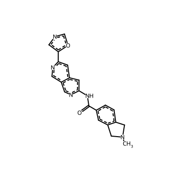 CN1Cc2ccc(C(=O)Nc3cc4cc(-c5cnco5)ncc4cn3)cc2C1